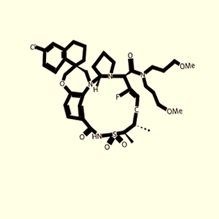 COCCCN(CCCOC)C(=O)[C@H]1/C(F)=C/C[C@H](C)[C@@H](C)S(=O)(=O)NC(=O)c2ccc3c(c2)N(C[C@@]2(CCCc4cc(Cl)ccc42)CO3)[C@@H]2CCCN12